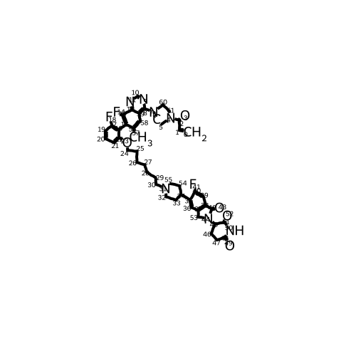 C=CC(=O)N1CCN(c2ncnc3c(F)c(-c4c(F)cccc4OCCCCCCCN4CCC(c5cc6c(cc5F)C(=O)N(C5CCC(=O)NC5=O)C6)CC4)c(C)cc23)CC1